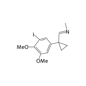 CN=CC1(c2cc(I)c(OC)c(OC)c2)CC1